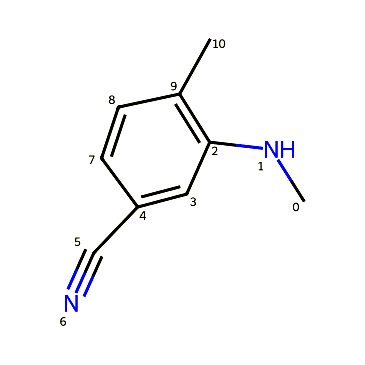 CNc1cc(C#N)ccc1C